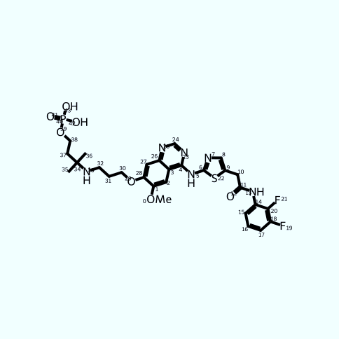 COc1cc2c(Nc3ncc(CC(=O)Nc4cccc(F)c4F)s3)ncnc2cc1OCCCNC(C)(C)CCOP(=O)(O)O